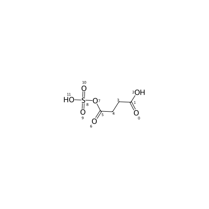 O=C(O)CCC(=O)OS(=O)(=O)O